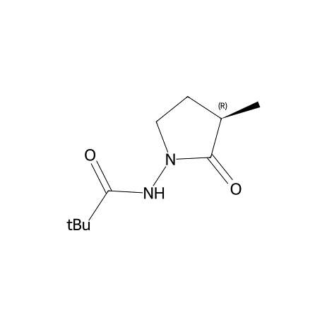 C[C@@H]1CCN(NC(=O)C(C)(C)C)C1=O